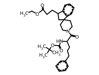 CCOC(=O)CCC1CC2(CCN(C(=O)C(CCCc3ccccc3)NC(=O)OC(C)(C)C)CC2)c2ccccc21